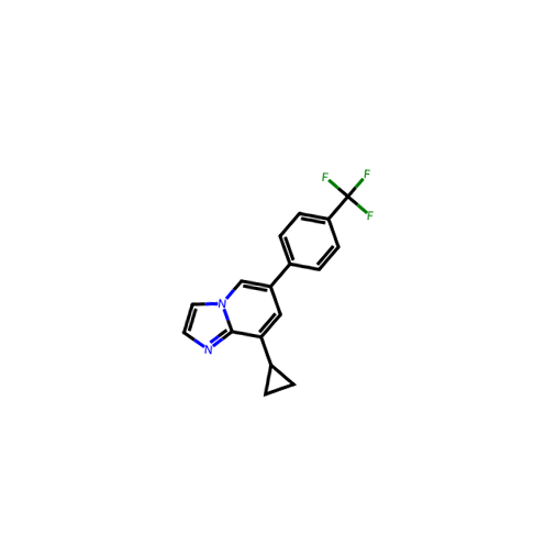 FC(F)(F)c1ccc(-c2cc(C3CC3)c3nccn3c2)cc1